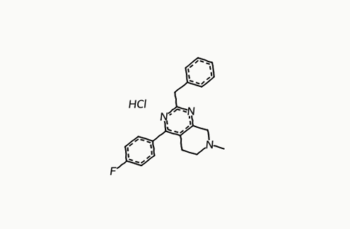 CN1CCc2c(nc(Cc3ccccc3)nc2-c2ccc(F)cc2)C1.Cl